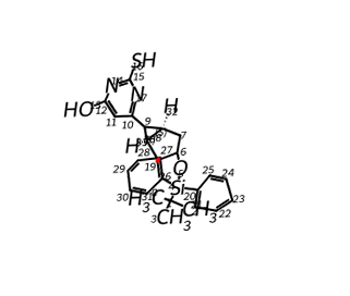 CC(C)(C)[Si](OC1C[C@@H]2C(c3cc(O)nc(S)n3)[C@@H]2C1)(c1ccccc1)c1ccccc1